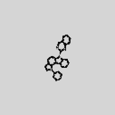 c1ccc(-n2ccc3ccc4c(c5ccccc5n4-c4ncc5ccccc5n4)c32)cc1